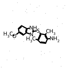 COc1ccc2[nH]c(Sc3c(C)ccc(N)c3C)nc2c1